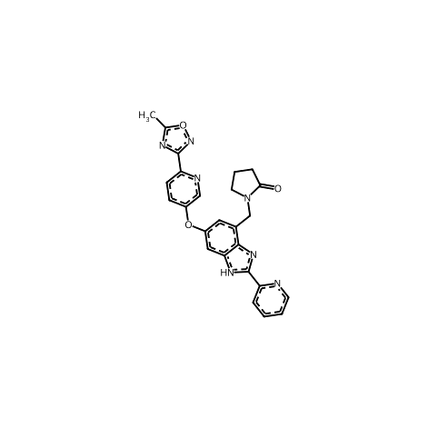 Cc1nc(-c2ccc(Oc3cc(CN4CCCC4=O)c4nc(-c5ccccn5)[nH]c4c3)cn2)no1